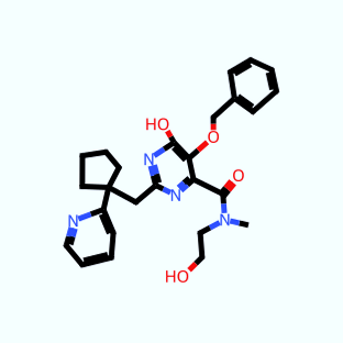 CN(CCO)C(=O)c1nc(CC2(c3ccccn3)CCCC2)nc(O)c1OCc1ccccc1